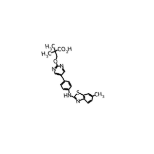 Cc1ccc2nc(Nc3ccc(-c4cnc(OCC(C)(C)C(=O)O)nc4)cc3)sc2c1